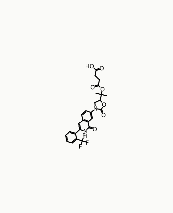 CC(C)(OC(=O)CCC(=O)O)C1CN(c2ccc3cc(-c4ccccc4C(F)(F)F)[nH]c(=O)c3c2)C(=O)O1